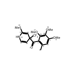 COc1cc(C)c(C(=O)C2(C(F)(F)F)C=CNC(SC)=C2)c(OC)c1OC